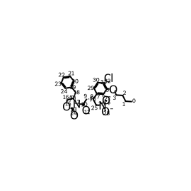 CCCCOc1cc([C@@H](CC(=O)N2C(=O)OC[C@H]2Cc2ccccc2)C[N+](=O)[O-])ccc1Cl